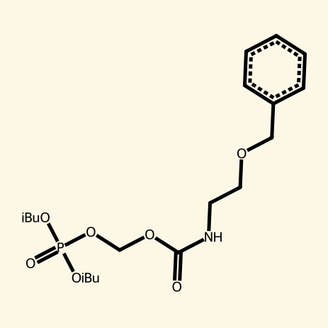 CC(C)COP(=O)(OCOC(=O)NCCOCc1ccccc1)OCC(C)C